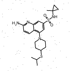 CC(C)SC1CCN(c2cc(S(=O)(=O)NC3(C)CC3)cc3nc(N)ccc23)CC1